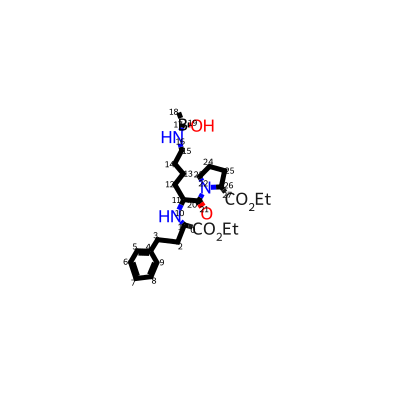 CCOC(=O)C(CCc1ccccc1)NC(CCCCNB(C)O)C(=O)N1CCCC1C(=O)OCC